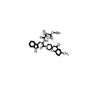 Cc1ccc2c(c1)C(=O)CC1(CCN(C(=O)[C@@H](Cc3c[nH]c4ccccc34)NC(=O)C(C)(C)NC(=O)OC(C)(C)C)CC1)O2